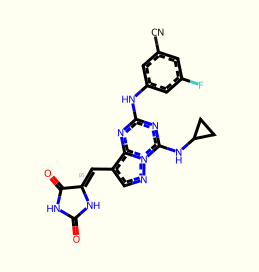 N#Cc1cc(F)cc(Nc2nc(NC3CC3)n3ncc(/C=C4\NC(=O)NC4=O)c3n2)c1